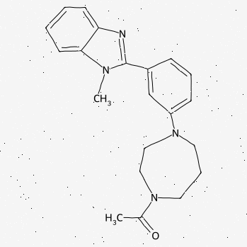 CC(=O)N1CCCN(c2cccc(-c3nc4ccccc4n3C)c2)CC1